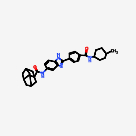 CC1CCC(NC(=O)c2ccc(-c3nc4cc(NC(=O)C56CC7CC(CC(C7)C5)C6)ccc4[nH]3)cc2)CC1